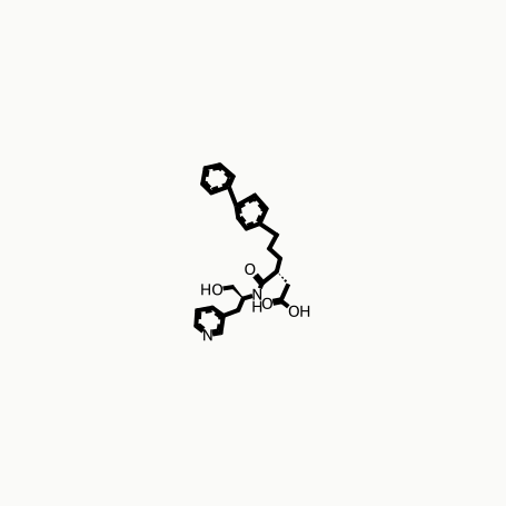 O=C(O)C[C@@H](CCCc1ccc(-c2ccccc2)cc1)C(=O)N[C@H](CO)Cc1cccnc1